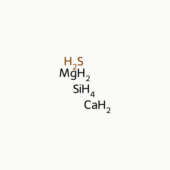 S.[CaH2].[MgH2].[SiH4]